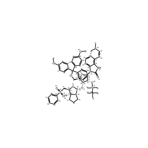 COc1ccc(C(OC[C@H]2O[C@@H](n3c(=O)[nH]c4c(/N=C\N(C)C)ncnc43)[C@H](O[Si](C)(C)C(C)(C)C)[C@@H]2O[P@@]2O[C@H](CS(=O)(=O)c3ccccc3)[C@@H]3CCCN32)(c2ccccc2)c2ccc(OC)cc2)cc1